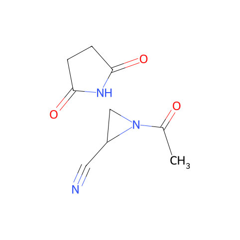 CC(=O)N1CC1C#N.O=C1CCC(=O)N1